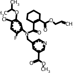 C=CCOC(=O)C1=C(C(=O)N(Cc2cncc(C(=O)OC)c2)c2cc(OC(C)C)c(Cl)cc2F)CCCC1